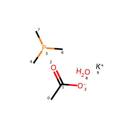 CC(=O)[O-].CP(C)C.O.[K+]